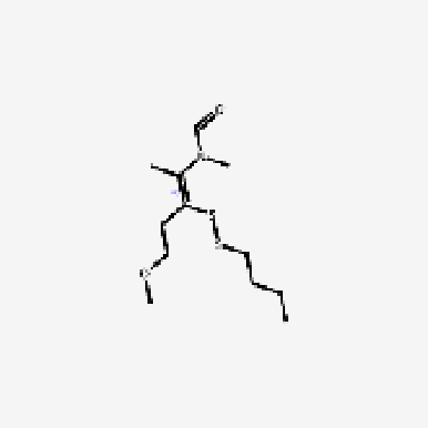 CCCCSS/C(CCOC)=C(/C)N(C)C=O